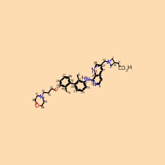 Cc1c(Nc2nccc3cc(CN4CC(CC(=O)O)C4)cnc23)cccc1-c1cccc(OCCCN2CCOCC2)c1C